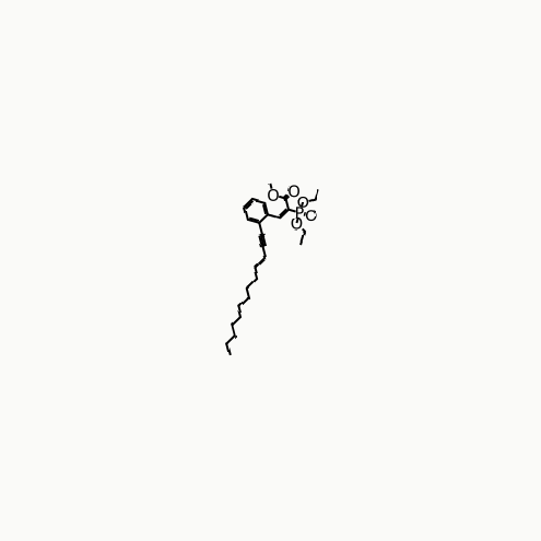 CCCCCCCCCCCC#Cc1ccccc1C=C(C(=O)OC)P(=O)(OCC)OCC